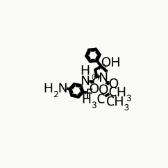 CC(C)(C)OC(=O)N1C[C@@](O)(c2ccccc2)C[C@@H]1C(=O)Nc1cc(N)ccc1F